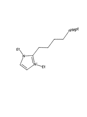 CCCCCCCCCCCc1n(CC)cc[n+]1CC